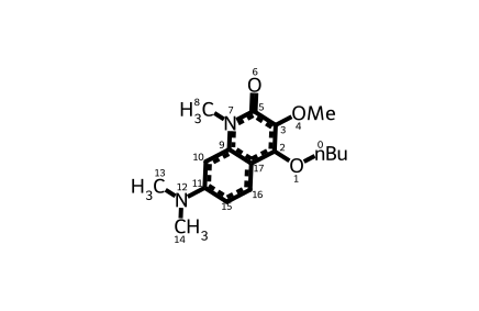 CCCCOc1c(OC)c(=O)n(C)c2cc(N(C)C)ccc12